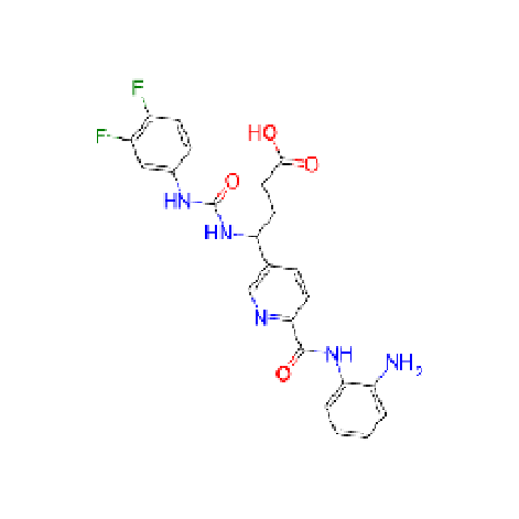 Nc1ccccc1NC(=O)c1ccc(C(CCC(=O)O)NC(=O)Nc2ccc(F)c(F)c2)cn1